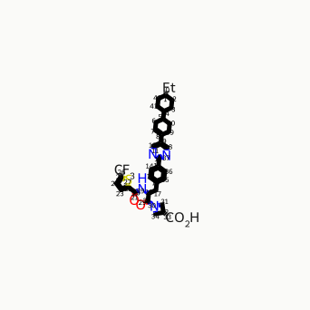 CCC1CCC(C2CC=C(c3cnc(-c4ccc(CC(NC(=O)c5ccc(C(F)(F)F)s5)C(=O)N5CC(C(=O)O)C5)cc4)nc3)CC2)CC1